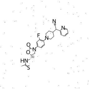 CC(=S)NC[C@H]1CN(c2ccc(N3CCC(C(C#N)c4ccccn4)CC3)c(F)c2)C(=O)O1